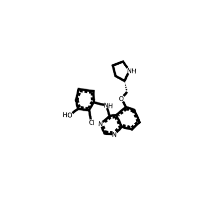 Oc1cccc(Nc2ncnc3cccc(OC[C@@H]4CCCN4)c23)c1Cl